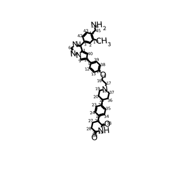 Cc1cc(-c2ncnn3cc(-c4ccc(OCCN5CCC(c6ccc(C7CCC(=O)NC7=O)cc6)CC5)cc4)cc23)ccc1CN